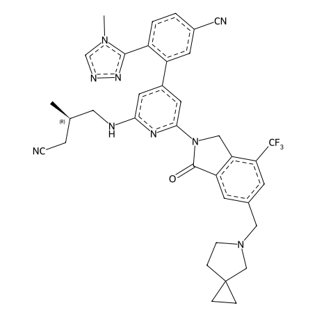 C[C@H](CC#N)CNc1cc(-c2cc(C#N)ccc2-c2nncn2C)cc(N2Cc3c(cc(CN4CCC5(CC5)C4)cc3C(F)(F)F)C2=O)n1